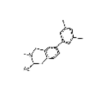 CC(=O)[C@@H]1Cc2ccc(-c3cc(C)cc(C)c3)cc2CN1C